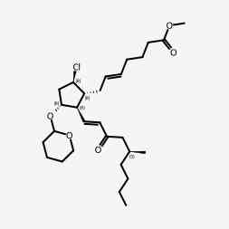 CCCC[C@H](C)CC(=O)C=C[C@@H]1[C@@H](CC=CCCCC(=O)OC)[C@H](Cl)C[C@H]1OC1CCCCO1